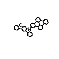 c1ccc2c(c1)oc1cc3c(cc12)c1ccccc1n3-c1ccc2c(c1)c1cccc3c4ccccc4c4cccc2c4c31